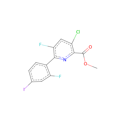 COC(=O)c1nc(-c2ccc(I)cc2F)c(F)cc1Cl